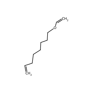 C=CCCCCCCOC=C